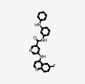 O=C(Nc1cccc(Nc2ccccc2)c1)c1cncc(Nc2ccnc3ccc(F)cc23)c1